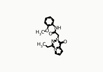 CCc1nn(CC(=O)Nc2ccccc2OC)c(=O)c2cccn12